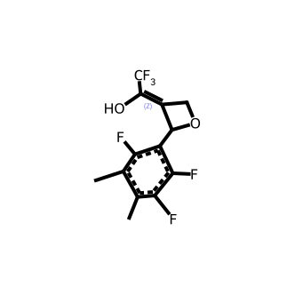 Cc1c(C)c(F)c(C2OC/C2=C(/O)C(F)(F)F)c(F)c1F